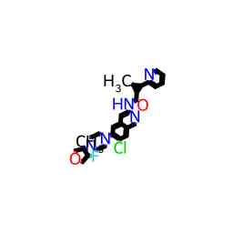 CC1C(C(=O)Nc2cc3cc(N4CCN(C5(C)COCC5F)CC4)c(Cl)cc3cn2)C1c1ccccn1